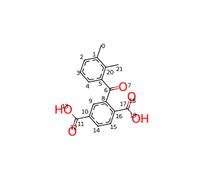 Cc1cccc(C(=O)c2cc(C(=O)O)ccc2C(=O)O)c1C